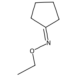 CCON=C1CCCC1